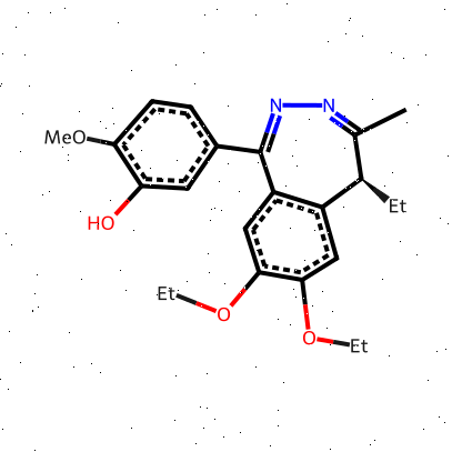 CCOc1cc2c(cc1OCC)[C@H](CC)C(C)=NN=C2c1ccc(OC)c(O)c1